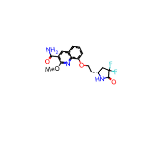 COc1nc2c(OCC[C@@H]3CC(F)(F)C(=O)N3)cccc2cc1C(N)=O